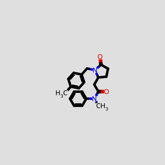 Cc1ccc(CN2C(=O)CCC2CC(=O)N(C)c2ccccc2)cc1